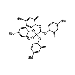 C=C1C=C(C(C)(C)C)C=CC1OC(OC1C=CC(C(C)(C)C)=CC1=C)C(OC(C)=O)(OC1C=CC(C(C)(C)C)=CC1=C)OC1C=CC(C(C)(C)C)=CC1=C